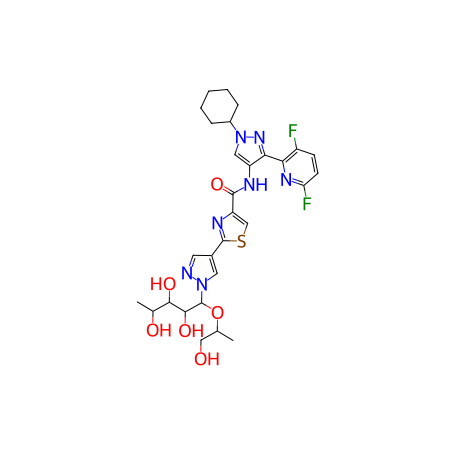 CC(CO)OC(C(O)C(O)C(C)O)n1cc(-c2nc(C(=O)Nc3cn(C4CCCCC4)nc3-c3nc(F)ccc3F)cs2)cn1